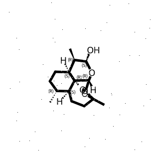 C[C@H]1[C@@H](O)O[C@@H]2OC3(C)CC[C@H]4[C@H](C)CC[C@@H]1[C@@]24OO3